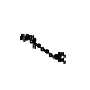 COc1nn(CCOCCOCCOCCOCCNC(=O)OCC[Si](C)(C)C)cc1N